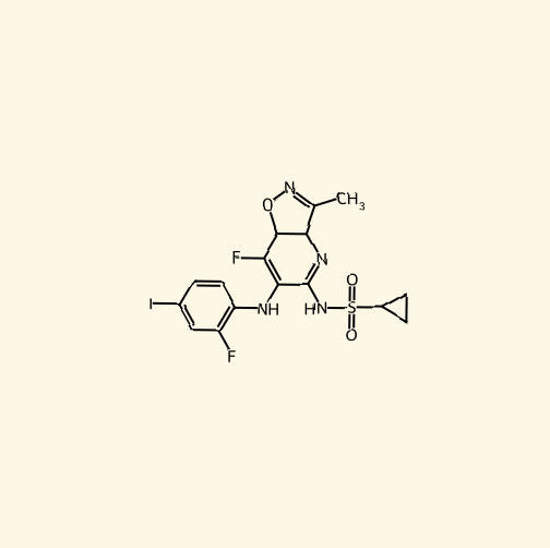 CC1=NOC2C(F)=C(Nc3ccc(I)cc3F)C(NS(=O)(=O)C3CC3)=NC12